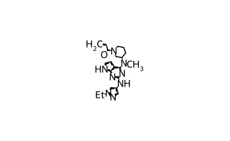 C=CC(=O)N1CCC[C@@H](N(C)c2nc(Nc3cnn(CC)c3)nc3[nH]ccc23)C1